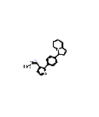 O/N=C\c1ccsc1-c1ccc(C2CCC3CCCCN32)cc1